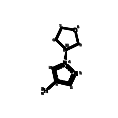 [2H]c1cnn([C@@H]2CCOC2)c1